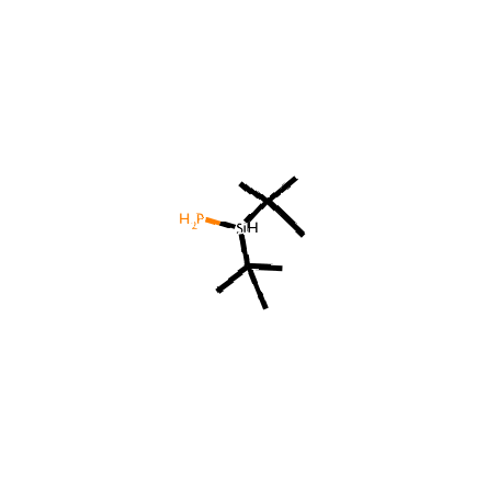 CC(C)(C)[SiH](P)C(C)(C)C